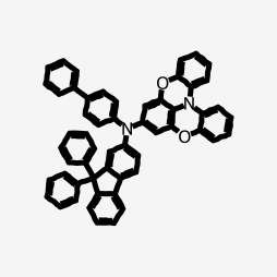 c1ccc(-c2ccc(N(c3cc4c5c(c3)Oc3ccccc3N5c3ccccc3O4)c3ccc4c(c3)C(c3ccccc3)(c3ccccc3)c3ccccc3-4)cc2)cc1